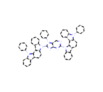 c1ccc(-n2c(-n3c4ccccc4c4c3ccc3c5ccccc5n(-c5ccccc5)c34)nc3nc(-n4c5ccccc5c5ccc6c(c7ccccc7n6-c6ccccc6)c54)ncc32)cc1